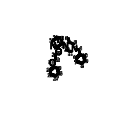 CC1CN(Cc2ccccc2)CCN1c1nccnc1OCCOc1ccccc1